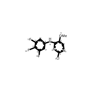 COc1cnc(Cl)nc1Nc1cc(F)c(F)c(F)c1